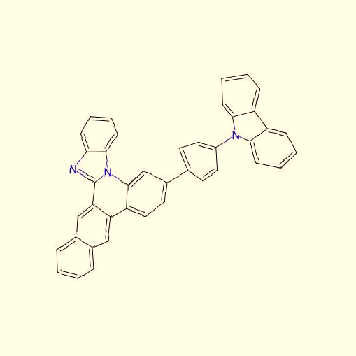 c1ccc2cc3c(cc2c1)c1ccc(-c2ccc(-n4c5ccccc5c5ccccc54)cc2)cc1n1c2ccccc2nc31